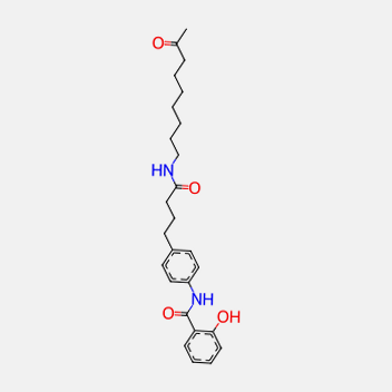 CC(=O)CCCCCCCNC(=O)CCCc1ccc(NC(=O)c2ccccc2O)cc1